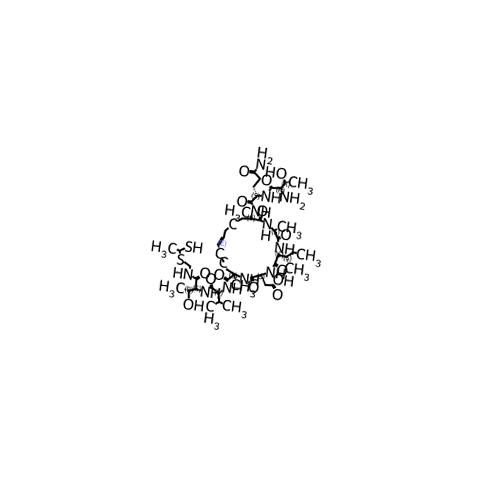 CC[C@H](C)[C@@H]1NC(=O)[C@H](C)NC(=O)[C@@](C)(NC(=O)[C@H](CCC(N)=O)NC(=O)[C@H](N)[C@@H](C)O)CCC/C=C/CCC[C@@](C)(C(=O)N[C@H](C(=O)N[C@H](C(=O)NCSC(C)S)[C@@H](C)O)C(C)C)NC(=O)[C@H](CC(=O)O)NC1=O